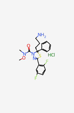 CON(C)C(=O)N1N=C(c2cc(F)ccc2F)S[C@@]1(CCCN)c1ccccc1.Cl